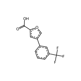 O=C(O)c1cc(-c2cccc(C(F)(F)F)c2)co1